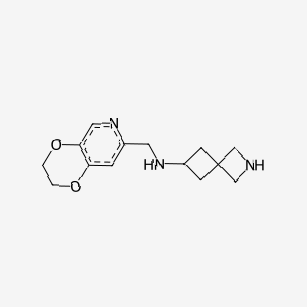 c1nc(CNC2CC3(CNC3)C2)cc2c1OCCO2